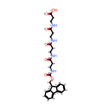 O=C(O)CCNC(=O)CCNC(=O)CCNC(=O)CCNC(=O)OCC1c2ccccc2-c2ccccc21